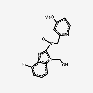 COc1ccnc(C[S+]([O-])c2nc3c(F)cccc3n2CO)c1